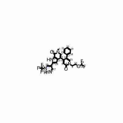 Cn1cc(-c2cc(=O)n(CCOC(F)F)cc2-c2ccccc2)c2cc(/C(C=N)=C/NC(F)(F)F)[nH]c2c1=O